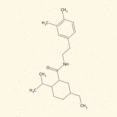 CCC1CCC(C(C)C)C(C(=O)NCCc2ccc(C)c(C)c2)C1